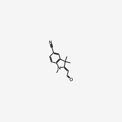 CN1/C(=C\C=O)C(C)(C)c2cc(C#N)ccc21